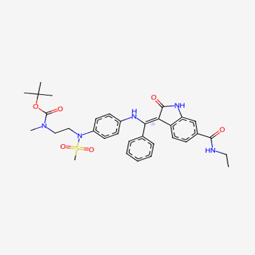 CCNC(=O)c1ccc2c(c1)NC(=O)/C2=C(\Nc1ccc(N(CCN(C)C(=O)OC(C)(C)C)S(C)(=O)=O)cc1)c1ccccc1